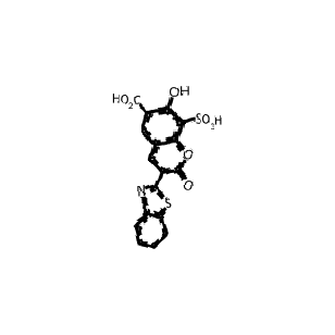 O=C(O)c1cc2cc(-c3nc4ccccc4s3)c(=O)oc2c(S(=O)(=O)O)c1O